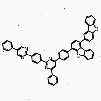 c1ccc(-c2cnc(-c3ccc(-c4nc(-c5ccccc5)cc(-c5ccc(-c6ccc(-c7ccc8oc9ccccc9c8c7)c7c6oc6ccccc67)cc5)n4)cc3)nc2)cc1